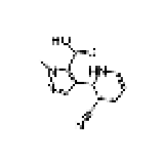 Cn1ncc(C2NC=CC=C2C#N)c1C(=O)O